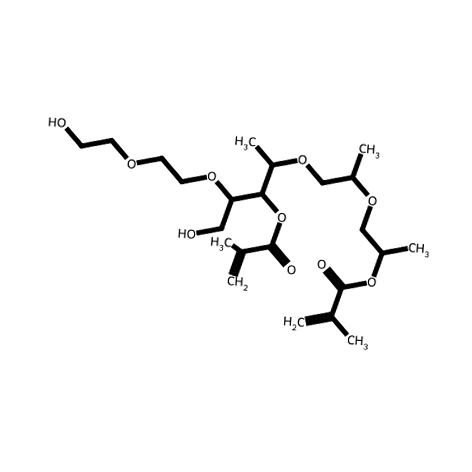 C=C(C)C(=O)OC(C)COC(C)COC(C)C(OC(=O)C(=C)C)C(CO)OCCOCCO